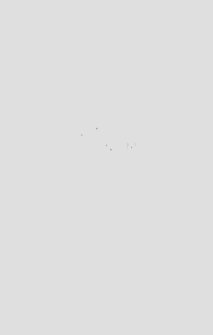 O=CCCn1nccc1Br